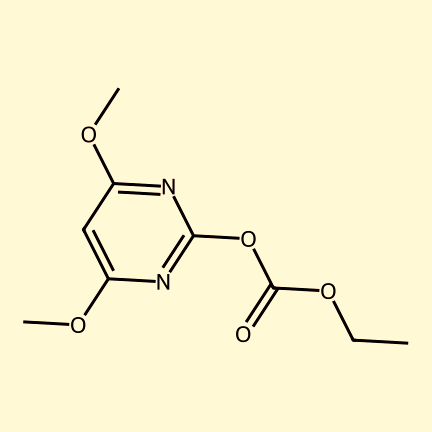 CCOC(=O)Oc1nc(OC)cc(OC)n1